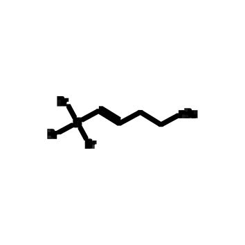 CCCCCCC=C[Si](Br)(Br)Br